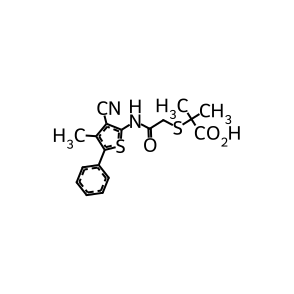 Cc1c(-c2ccccc2)sc(NC(=O)CSC(C)(C)C(=O)O)c1C#N